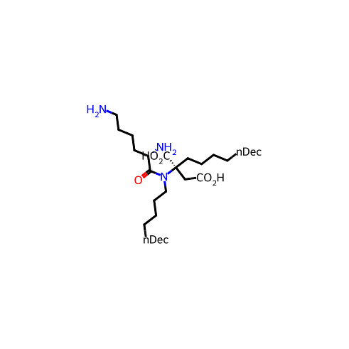 CCCCCCCCCCCCCCN(C(=O)[C@@H](N)CCCCN)[C@@](CCCCCCCCCCCCCC)(CC(=O)O)C(=O)O